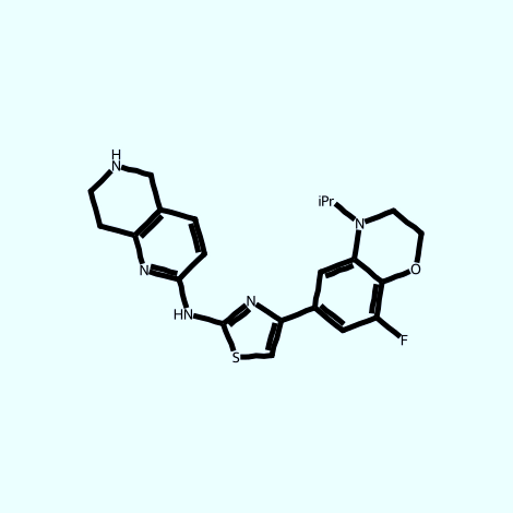 CC(C)N1CCOc2c(F)cc(-c3csc(Nc4ccc5c(n4)CCNC5)n3)cc21